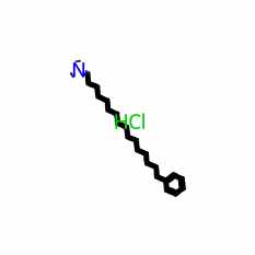 CN(C)CCCCCCCCCCCCCCCCc1ccccc1.Cl